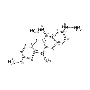 COc1ccc(Cn2ccc3ccc(NN)cc3c2=N)c(OC)c1.Cl